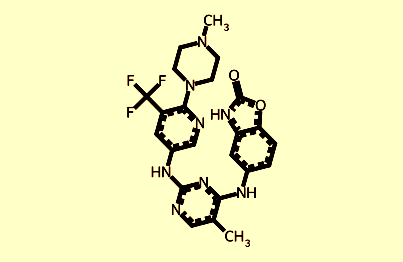 Cc1cnc(Nc2cnc(N3CCN(C)CC3)c(C(F)(F)F)c2)nc1Nc1ccc2oc(=O)[nH]c2c1